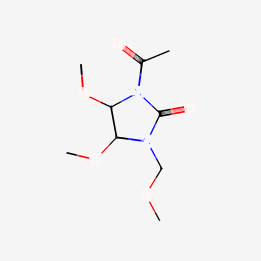 COCN1C(=O)N(C(C)=O)C(OC)C1OC